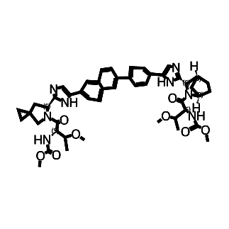 COC(=O)N[C@H](C(=O)N1CC2(CC2)C[C@H]1c1ncc(-c2ccc3cc(-c4ccc(-c5cnc([C@@H]6[C@H]7CC[C@H](C7)N6C(=O)[C@@H](NC(=O)OC)C(C)OC)[nH]5)cc4)ccc3c2)[nH]1)C(C)OC